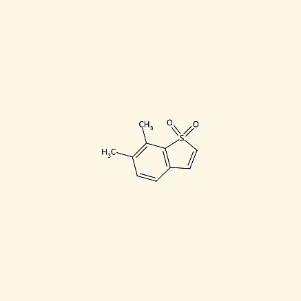 Cc1ccc2c(c1C)S(=O)(=O)C=C2